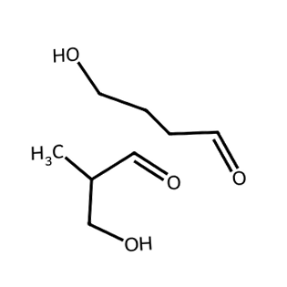 CC(C=O)CO.O=CCCCO